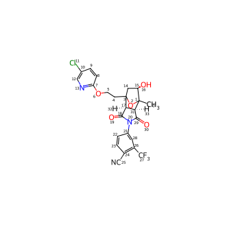 CC12OC(CCOc3ccc(Cl)cn3)(C[C@H]1O)[C@@H]1C(=O)N(c3ccc(C#N)c(C(F)(F)F)c3)C(=O)[C@@H]12